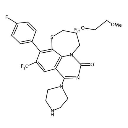 COCCO[C@H]1CSc2c(-c3ccc(F)cc3)c(C(F)(F)F)cc3c(N4CCNCC4)nc(=O)n(c23)C1